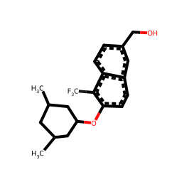 CC1CC(C)CC(Oc2ccc3cc(CO)ccc3c2C(F)(F)F)C1